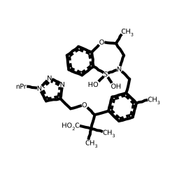 CCCn1cc(COC(c2ccc(C)c(CN3CC(C)Oc4ccccc4S3(O)O)c2)C(C)(C)C(=O)O)nn1